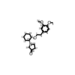 COc1ccc(CCO[C@H]2CCCC[C@@H]2N2CCC(=O)C2)cc1OC